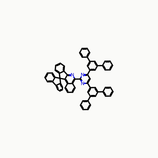 c1ccc(-c2cc(-c3ccccc3)cc(-c3cc(-c4cc(-c5ccccc5)cc(-c5ccccc5)c4)nc(-c4nc5c(c6ccccc46)C4(c6ccccc6-c6ccccc64)c4ccccc4-5)n3)c2)cc1